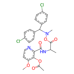 COc1ccnc(C(=O)NC(C)C(=O)ON(C)C(c2ccc(Cl)cc2)c2ccc(Cl)cc2)c1OC(C)=O